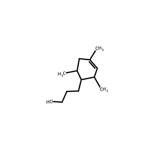 CC1=CC(C)C(CCCO)C(C)C1